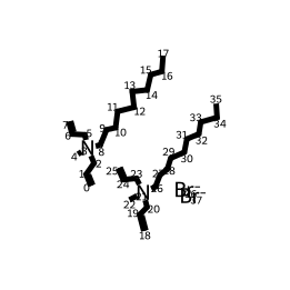 C=CC[N+](C)(CC=C)CCCCCCCCCC.C=CC[N+](C)(CC=C)CCCCCCCCCC.[Br-].[Br-]